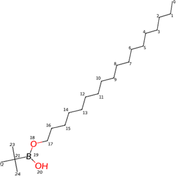 CCCCCCCCCCCCCCCCCCOB(O)C(C)(C)C